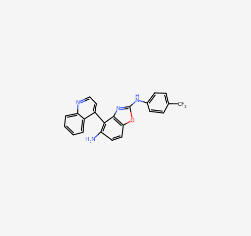 Nc1ccc2oc(Nc3ccc(C(F)(F)F)cc3)nc2c1-c1ccnc2ccccc12